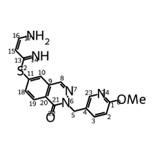 COc1ccc(Cn2ncc3cc(SC(=N)/C=C\N)ccc3c2=O)cn1